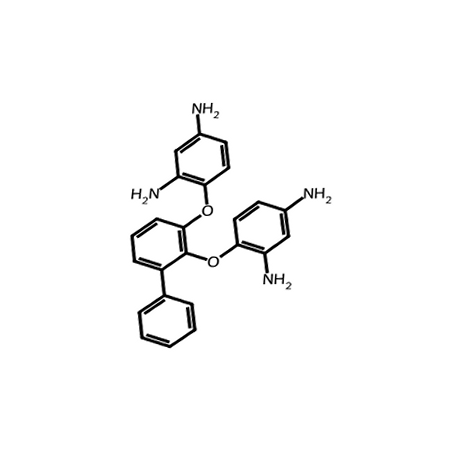 Nc1ccc(Oc2cccc(-c3ccccc3)c2Oc2ccc(N)cc2N)c(N)c1